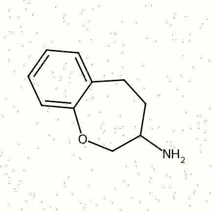 NC1CCc2ccccc2OC1